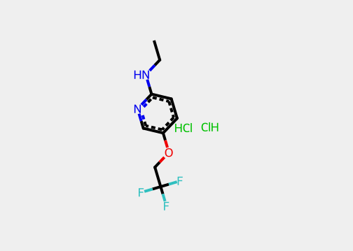 CCNc1ccc(OCC(F)(F)F)cn1.Cl.Cl